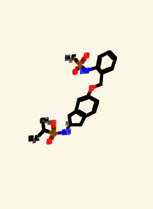 CC(C)S(=O)(=O)N[C@H]1Cc2ccc(OCc3ccccc3NS(C)(=O)=O)cc2C1